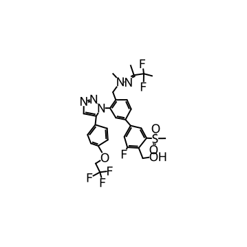 C/C(=N\N(C)Cc1ccc(-c2cc(F)c(CO)c(S(C)(=O)=O)c2)cc1-n1nncc1-c1ccc(OCC(F)(F)F)cc1)C(C)(F)F